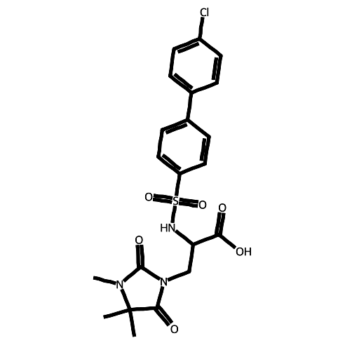 CN1C(=O)N(CC(NS(=O)(=O)c2ccc(-c3ccc(Cl)cc3)cc2)C(=O)O)C(=O)C1(C)C